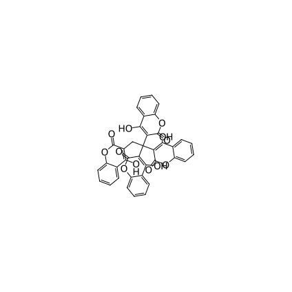 O=c1oc2ccccc2c(O)c1CC(c1c(O)c2ccccc2oc1=O)(c1c(O)c2ccccc2oc1=O)c1c(O)c2ccccc2oc1=O